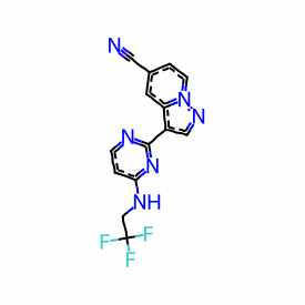 N#Cc1ccn2ncc(-c3nccc(NCC(F)(F)F)n3)c2c1